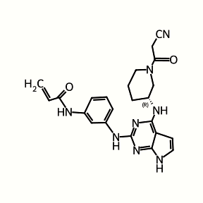 C=CC(=O)Nc1cccc(Nc2nc(N[C@@H]3CCCN(C(=O)CC#N)C3)c3cc[nH]c3n2)c1